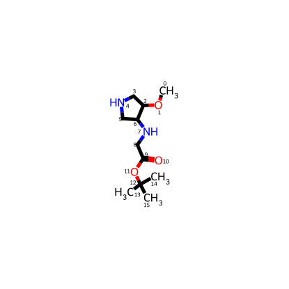 COC1CNCC1NCC(=O)OC(C)(C)C